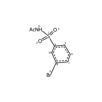 CC(=O)NS(=O)(=O)c1cccc(Br)c1